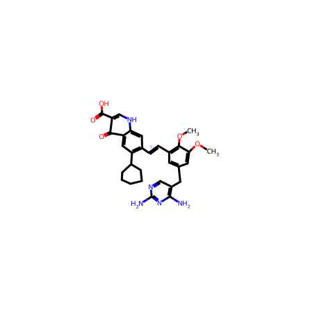 COc1cc(Cc2cnc(N)nc2N)cc(/C=C/c2cc3[nH]cc(C(=O)O)c(=O)c3cc2C2CCCCC2)c1OC